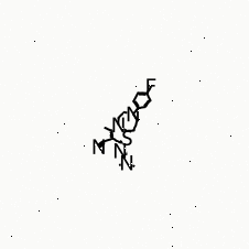 CC(=C(C#N)C(=S)N=CN(C)C)N1CCCN(c2ccc(F)cc2)CC1